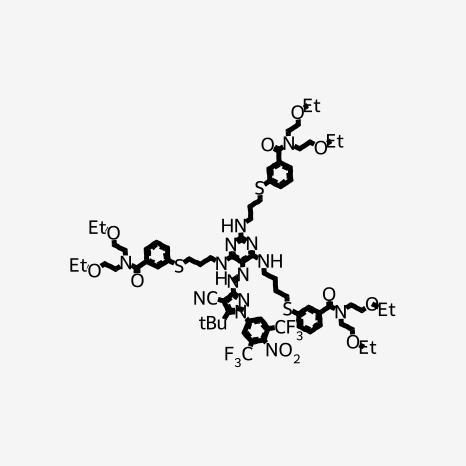 CCOCCN(CCOCC)C(=O)c1cccc(SCCCCNc2nc(NCCCSc3cccc(C(=O)N(CCOCC)CCOCC)c3)nc(NCCCSc3cccc(C(=O)N(CCOCC)CCOCC)c3)c2N=Nc2nn(-c3cc(C(F)(F)F)c([N+](=O)[O-])c(C(F)(F)F)c3)c(C(C)(C)C)c2C#N)c1